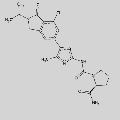 Cc1nc(NC(=O)N2CCC[C@H]2C(N)=O)sc1-c1cc(Cl)c2c(c1)CN(C(C)C)C2=O